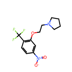 O=[N+]([O-])c1ccc(C(F)(F)F)c(OCCN2CCCC2)c1